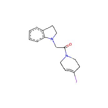 O=C(CN1CCc2ccccc21)N1CC=C(I)CC1